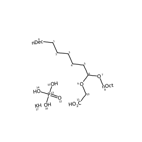 CCCCCCCCCCCCCCCC(OCCCCCCCC)OCC(=O)O.O=P(O)(O)O.[KH]